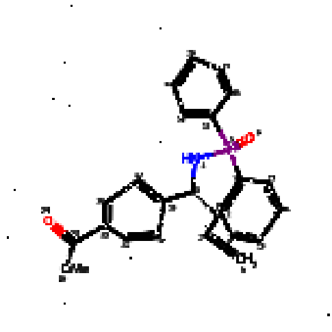 C=CC[C@@H](NP(=O)(c1ccccc1)c1ccccc1)c1ccc(C(=O)OC)cc1